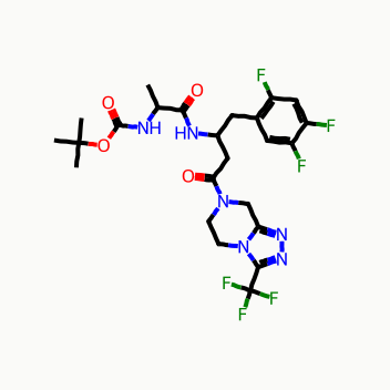 CC(NC(=O)OC(C)(C)C)C(=O)NC(CC(=O)N1CCn2c(nnc2C(F)(F)F)C1)Cc1cc(F)c(F)cc1F